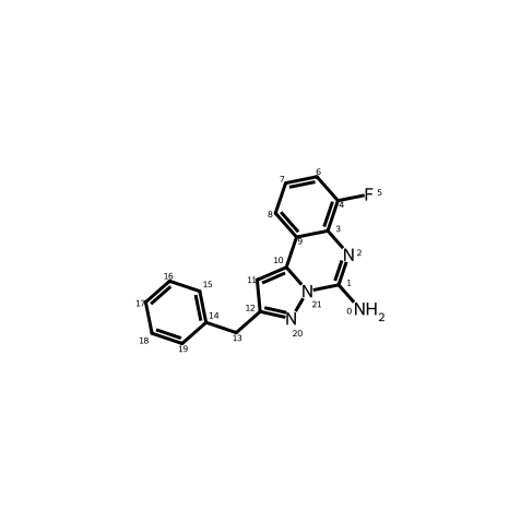 Nc1nc2c(F)cccc2c2cc(Cc3ccccc3)nn12